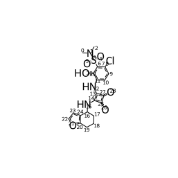 CN(C)S(=O)(=O)c1c(Cl)ccc(Nc2c(NC3CCCc4occc43)c(=O)c2=O)c1O